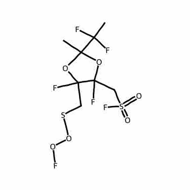 CC(F)(F)C1(C)OC(F)(CSOOF)C(F)(CS(=O)(=O)F)O1